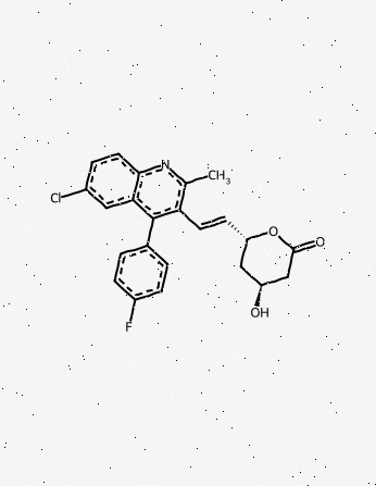 Cc1nc2ccc(Cl)cc2c(-c2ccc(F)cc2)c1/C=C/[C@H]1C[C@H](O)CC(=O)O1